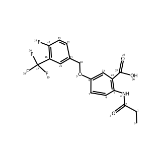 CCC(=O)Nc1ccc(OCc2ccc(F)c(C(F)(F)F)c2)cc1C(=O)O